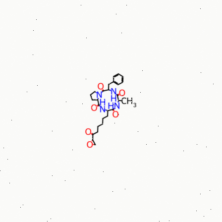 CC1NC(=O)C(CCCCCC(=O)C2CO2)NC(=O)C2CCCN2C(=O)C(Cc2ccccc2)NC1=O